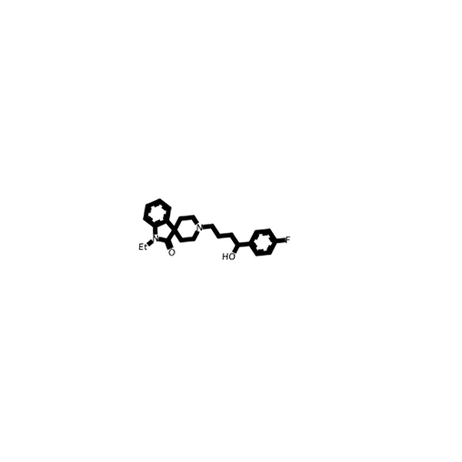 CCN1C(=O)C2(CCN(CCCC(O)c3ccc(F)cc3)CC2)c2ccccc21